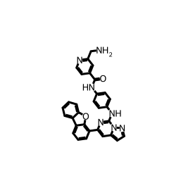 NCc1cc(C(=O)Nc2ccc(Nc3nc(-c4cccc5c4oc4ccccc45)cc4ccnn34)cc2)ccn1